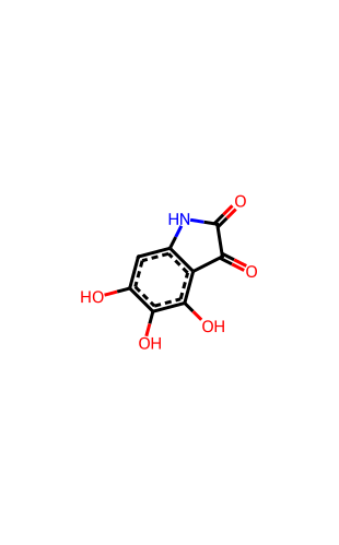 O=C1Nc2cc(O)c(O)c(O)c2C1=O